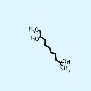 CCC(O)CCCCCCC(C)O